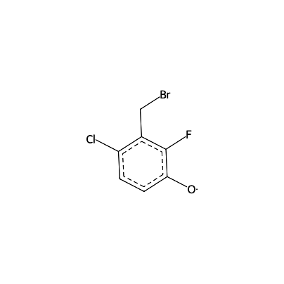 [O]c1ccc(Cl)c(CBr)c1F